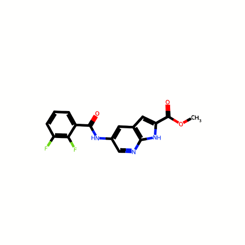 COC(=O)c1cc2cc(NC(=O)c3cccc(F)c3F)cnc2[nH]1